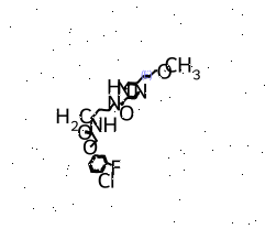 C=C(CCNC(=O)c1cnc(/C=C/COC)cn1)NC(=O)COc1ccc(Cl)c(F)c1